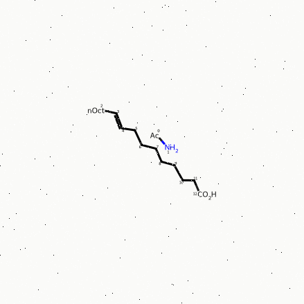 CC(N)=O.CCCCCCCCC=CCCCCCCCC(=O)O